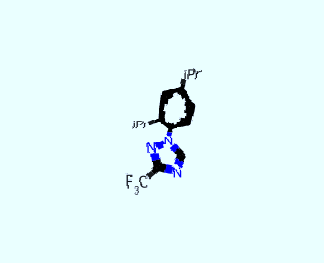 CC(C)c1ccc(-n2cnc(C(F)(F)F)n2)c(C(C)C)c1